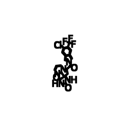 O=C1NC(=O)C(CCC(=O)n2cc3cc(Cl)c(C(F)(F)F)cc3c2)(c2ncccn2)N1